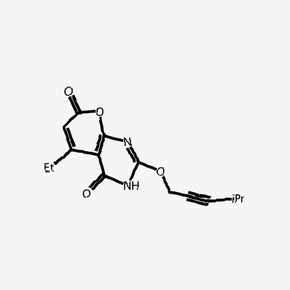 CCc1cc(=O)oc2nc(OCC#CC(C)C)[nH]c(=O)c12